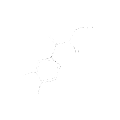 CCCCCCCCC(Br)C(=O)c1ccc(C)c(C)c1